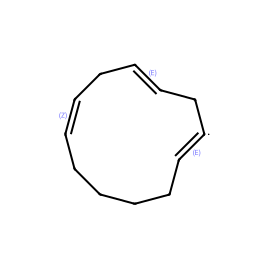 [C]1=C/CCCC/C=C\C/C=C/C/1